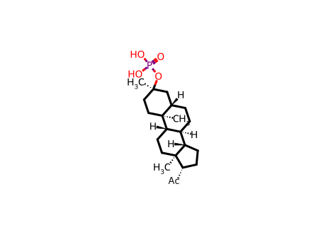 CC(=O)[C@H]1CC[C@H]2[C@@H]3CC[C@H]4C[C@](C)(OP(=O)(O)O)CC[C@]4(C)[C@H]3CC[C@]12C